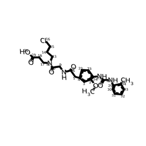 COc1cc(CC(=O)NCC(=O)N(CCCCl)CCC(=O)O)ccc1NC(=O)Nc1ccccc1C